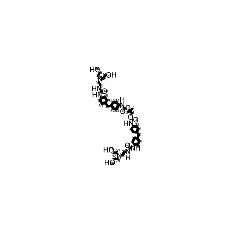 CC(C)(COC(=O)Nc1ccc(Cc2ccc(NC(=O)NCCN(CCO)CCO)cc2)cc1)OC(=O)Nc1ccc(Cc2ccc(NC(=O)NCCN(CCO)CCO)cc2)cc1